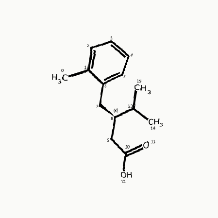 Cc1ccccc1C[C@H](CC(=O)O)C(C)C